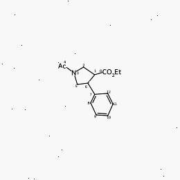 CCOC(=O)C1CN(C(C)=O)CC1c1ccccc1